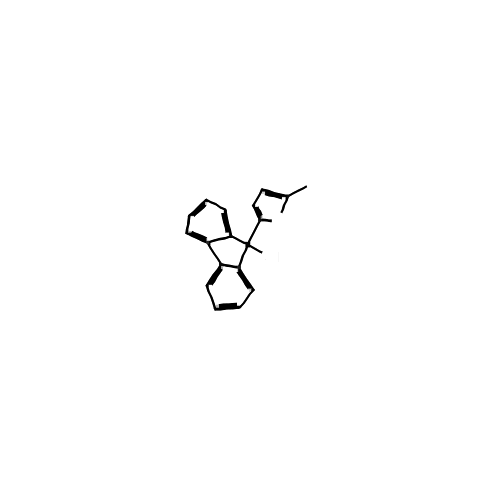 Cc1ccc(C2(O)c3ccccc3-c3ccccc32)s1